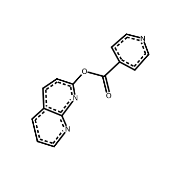 O=C(Oc1ccc2cccnc2n1)c1ccncc1